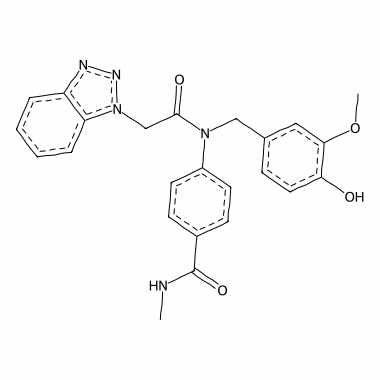 CNC(=O)c1ccc(N(Cc2ccc(O)c(OC)c2)C(=O)Cn2nnc3ccccc32)cc1